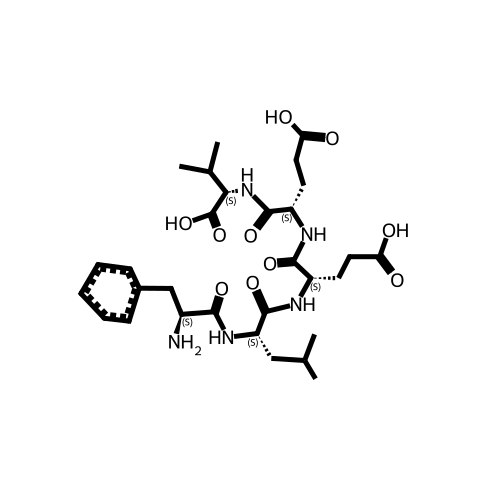 CC(C)C[C@H](NC(=O)[C@@H](N)Cc1ccccc1)C(=O)N[C@@H](CCC(=O)O)C(=O)N[C@@H](CCC(=O)O)C(=O)N[C@H](C(=O)O)C(C)C